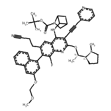 COCOc1cc(-c2c(CCC#N)cc3c(NC4C5CC4N(C(=O)OC(C)(C)C)C5)c(C#Cc4cccnc4)c(O[C@@H](C)[C@@H]4CCCN4C)nc3c2F)c2ccccc2c1